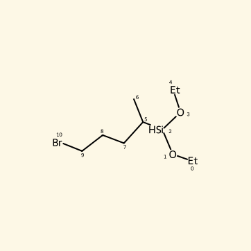 CCO[SiH](OCC)C(C)CCCBr